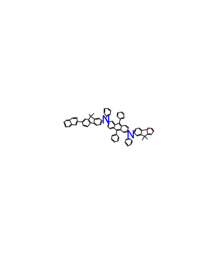 CC1(C)c2ccccc2-c2ccc(N(c3ccccc3)c3ccc4c(-c5ccccc5)c5cc(N(c6ccccc6)c6ccc7c(c6)C(C)(C)c6cc(-c8ccc9ccccc9c8)ccc6-7)ccc5c(-c5ccccc5)c4c3)cc21